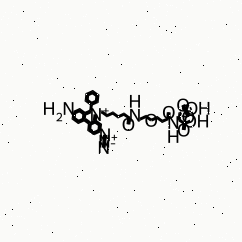 [N-]=[N+]=Nc1ccc2c3ccc(N)cc3c(-c3ccccc3)[n+](CCCCCC(=O)NCCOCCC(=O)NC(CS(=O)(=O)O)C(=O)O)c2c1